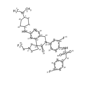 CN(C)C1CCC(Nc2ncc3c(n2)C2(CCN(CC(F)(F)F)C2)C(=O)N(c2ccc(NS(=O)(=O)Cc4ccc(F)cc4)c(F)c2)C3)CC1